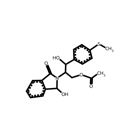 CSc1ccc(C(O)C(COC(C)=O)N2C(=O)c3ccccc3C2O)cc1